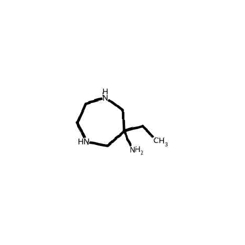 CCC1(N)CNCCNC1